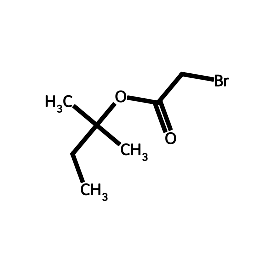 CCC(C)(C)OC(=O)CBr